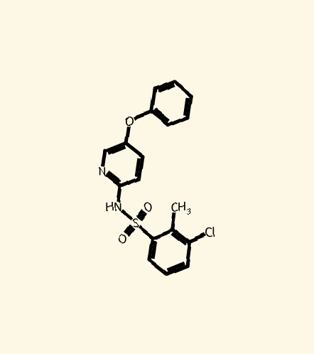 Cc1c(Cl)cccc1S(=O)(=O)Nc1ccc(Oc2ccccc2)cn1